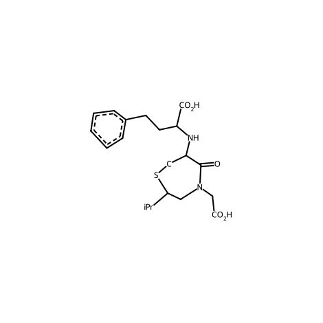 CC(C)C1CN(CC(=O)O)C(=O)C(NC(CCc2ccccc2)C(=O)O)CS1